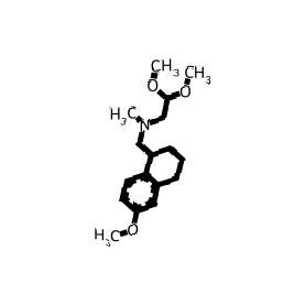 COc1ccc2c(c1)CCCC2CN(C)CC(OC)OC